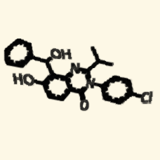 CC(C)c1nc2c(C(O)c3ccccc3)c(O)ccc2c(=O)n1-c1ccc(Cl)cc1